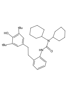 CC(C)(C)c1cc(CCc2ccccc2NC(=O)N(C2CCCCC2)C2CCCCC2)cc(C(C)(C)C)c1O